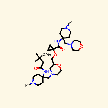 COC(C)(C)CC(=O)NC1(CN2CCOC(COC3(C(=O)NC4(CN5CCOCC5)CCN(C(C)C)CC4)CC3)C2)CCN(C(C)C)CC1